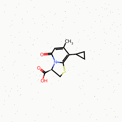 Cc1cc(=O)n2c(c1C1CC1)SC[C@H]2C(=O)O